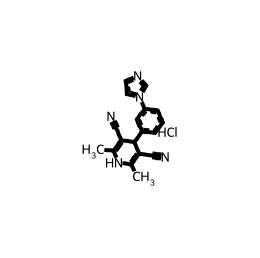 CC1=C(C#N)C(c2cccc(-n3ccnc3)c2)C(C#N)=C(C)N1.Cl